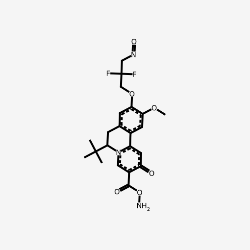 COc1cc2c(cc1OCC(F)(F)CN=O)CC(C(C)(C)C)n1cc(C(=O)ON)c(=O)cc1-2